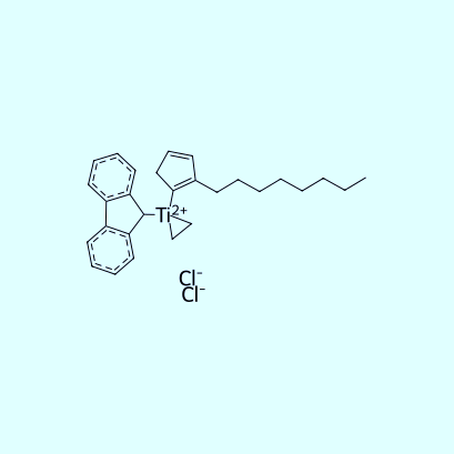 CCCCCCCCC1=[C]([Ti+2]2([CH]3c4ccccc4-c4ccccc43)[CH2][CH2]2)CC=C1.[Cl-].[Cl-]